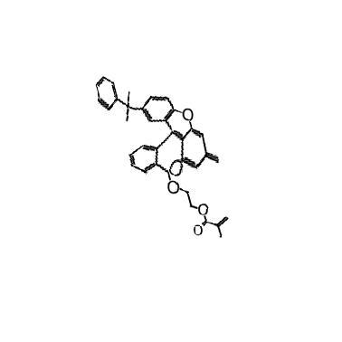 C=C(C)C(=O)OCCOC(=O)c1ccccc1C1=c2ccc(=C)cc2Oc2ccc(C(C)(C)c3ccccc3)cc21